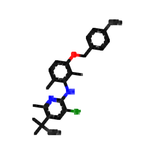 COc1ccc(COc2ccc(C)c(Nc3nc(C)c(C(C)(C)OC)cc3Br)c2C)cc1